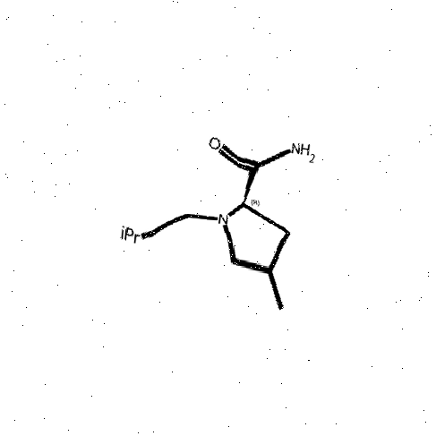 CC(C)CN1CC(C)C[C@@H]1C(N)=O